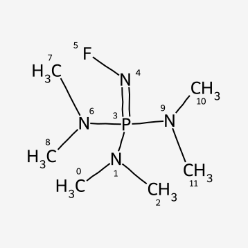 CN(C)P(=NF)(N(C)C)N(C)C